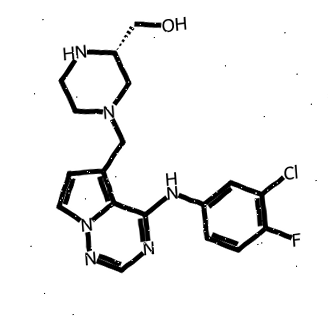 OC[C@@H]1CN(Cc2ccn3ncnc(Nc4ccc(F)c(Cl)c4)c23)CCN1